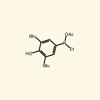 CCN(OC(C)=O)c1cc(C(C)(C)C)c(O)c(C(C)(C)C)c1